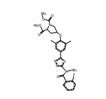 CCCCN(C(=O)c1ccccc1F)c1nnc(-c2cc(C)c(OC3CC(C(=O)OC)N(C(=O)OC(C)(C)C)C3)c(C)c2)s1